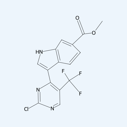 COC(=O)c1ccc2c(-c3nc(Cl)ncc3C(F)(F)F)c[nH]c2c1